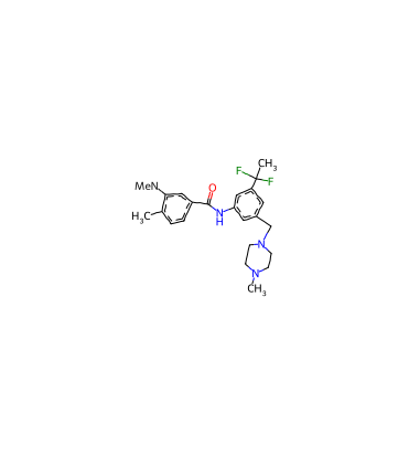 CNc1cc(C(=O)Nc2cc(CN3CCN(C)CC3)cc(C(C)(F)F)c2)ccc1C